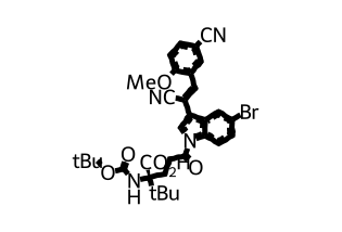 COc1ccc(C#N)cc1C=C(C#N)c1cn(C(=O)CC[C@](NC(=O)OC(C)(C)C)(C(=O)O)C(C)(C)C)c2ccc(Br)cc12